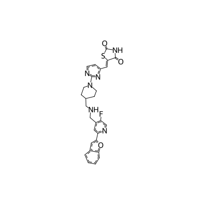 O=C1NC(=O)/C(=C/c2ccnc(N3CCC(CNCc4cc(-c5cc6ccccc6o5)ncc4F)CC3)n2)S1